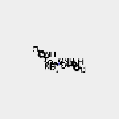 NC(Cc1c[nH]c2cc(Cl)ccc12)OC(=O)/C=C/C(=O)OC(N)Cc1c[nH]c2cc(Cl)ccc12